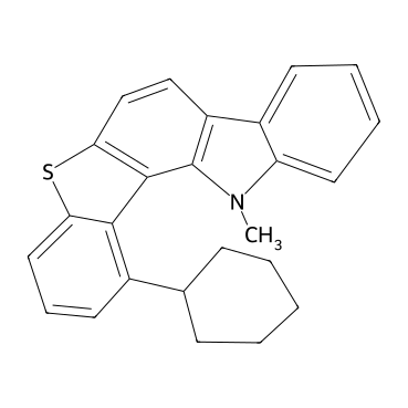 Cn1c2ccccc2c2ccc3sc4cccc(C5CCCCC5)c4c3c21